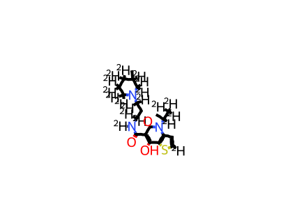 [2H]c1cc2c(s1)c(O)c(C(=O)N([2H])C([2H])([2H])CC([2H])([2H])N1C([2H])([2H])C([2H])([2H])C([2H])([2H])C([2H])(C)C1([2H])[2H])c(=O)n2C([2H])(C)C([2H])([2H])[2H]